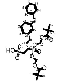 CC(C)(C)C(=O)OCOP(=O)(OCOC(=O)C(C)(C)C)[C@@H](CCc1cccc(Oc2ccccc2)c1)CS(=O)(=O)O